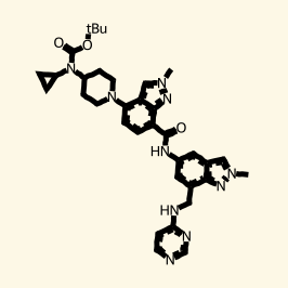 Cn1cc2cc(NC(=O)c3ccc(N4CCC(N(C(=O)OC(C)(C)C)C5CC5)CC4)c4cn(C)nc34)cc(CNc3ccncn3)c2n1